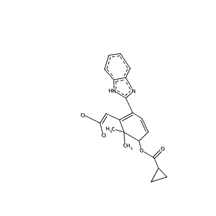 CC1(C)C(C=C(Cl)Cl)=C(c2nc3ccccc3[nH]2)C=CC1OC(=O)C1CC1